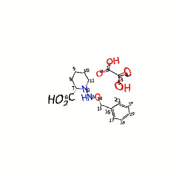 O=C(O)C(=O)O.O=C(O)[C@@H]1CCCCN1NOCc1ccccc1